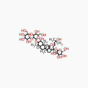 CC(C)(O)/C=C/C[C@](C)(O[C@@H]1O[C@H](CO)[C@@H](O)[C@H](O)[C@H]1O)[C@H]1CC[C@]2(C)C1[C@H](O)CC1[C@@]3(C)C[C@@H](O)[C@H](O[C@@H]4O[C@H](CO)[C@@H](O)[C@H](O)[C@H]4O[C@@H]4O[C@H](CO)[C@@H](O)[C@H](O)[C@H]4O)C(C)(C)C3CC[C@]12C